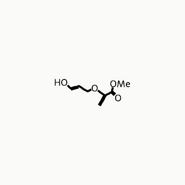 C=C(OCC=CO)C(=O)OC